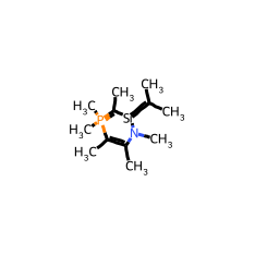 CC1=C(C)P(C)(C)=C(C)[Si](=C(C)C)N1C